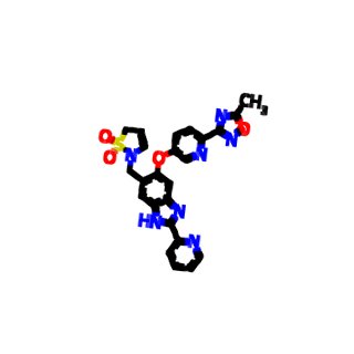 Cc1nc(-c2ccc(Oc3cc4nc(-c5ccccn5)[nH]c4cc3CN3C=CCS3(=O)=O)cn2)no1